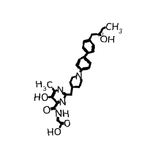 CC[C@H](O)Cc1ccc(-c2ccc(N3CCC(Cc4nc(C)c(O)c(C(=O)NCC(=O)O)n4)CC3)cc2)cc1